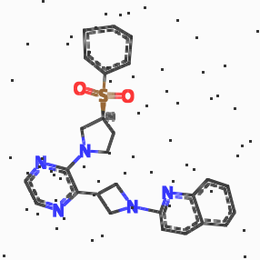 O=S(=O)(c1ccccc1)[C@H]1CCN(c2nccnc2C2CN(c3ccc4ccccc4n3)C2)C1